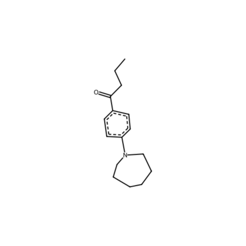 CCCC(=O)c1ccc(N2CCCCCC2)cc1